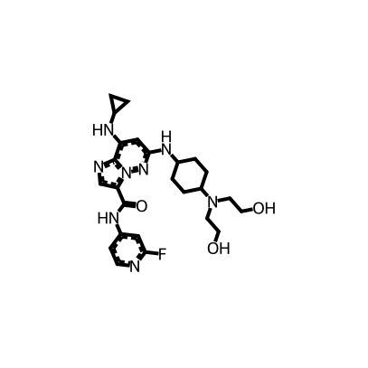 O=C(Nc1ccnc(F)c1)c1cnc2c(NC3CC3)cc(NC3CCC(N(CCO)CCO)CC3)nn12